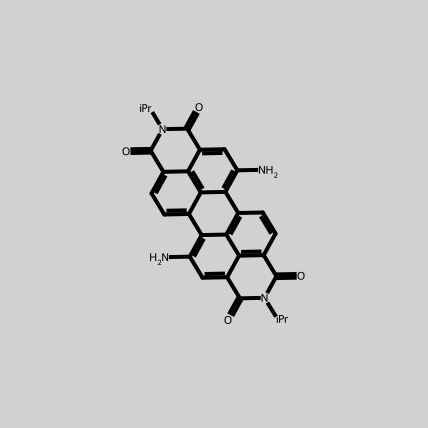 CC(C)N1C(=O)c2ccc3c4c(N)cc5c6c(ccc(c7c(N)cc(c2c37)C1=O)c64)C(=O)N(C(C)C)C5=O